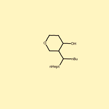 CCCCCCCC(CCCC)C1COCCC1O